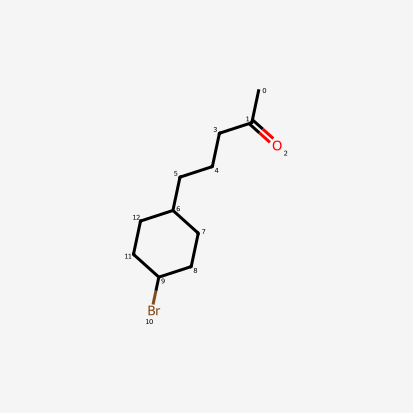 CC(=O)CCCC1CCC(Br)CC1